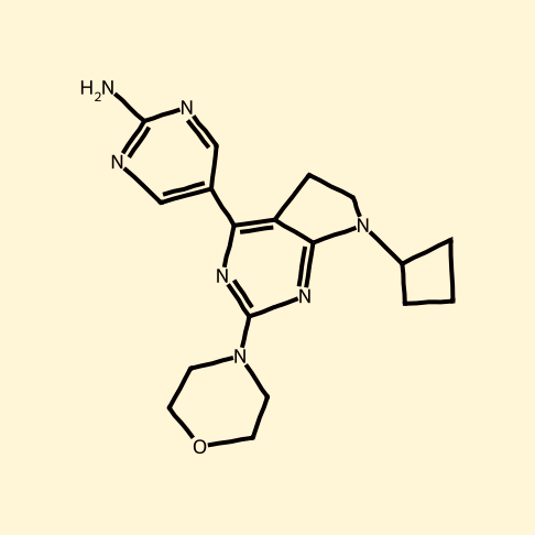 Nc1ncc(-c2nc(N3CCOCC3)nc3c2CCN3C2CCC2)cn1